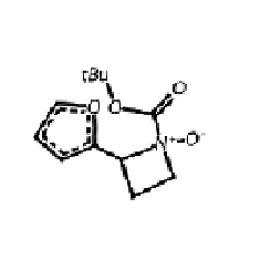 CC(C)(C)OC(=O)[N+]1([O-])CCC1c1ccco1